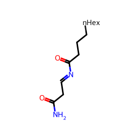 CCCCCCCCCC(=O)N=CCC(N)=O